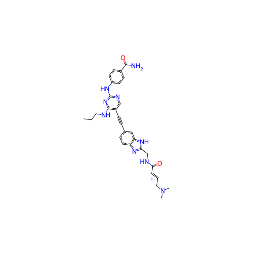 CCCNc1nc(Nc2ccc(C(N)=O)cc2)ncc1C#Cc1ccc2nc(CNC(=O)/C=C/CN(C)C)[nH]c2c1